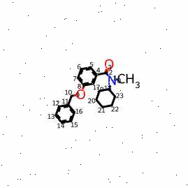 CN(C(=O)c1cccc(OCc2ccccc2)c1)C1CCCCC1